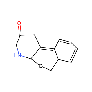 O=C1CNC2CCC3C=CC=CC3=C2C1